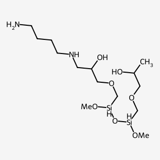 CO[SiH](COCC(C)O)O[SiH](COCC(O)CNCCCCN)OC